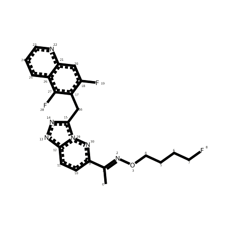 CC(=NOCCCCF)c1ccc2nnc(Cc3c(F)cc4ncccc4c3F)n2n1